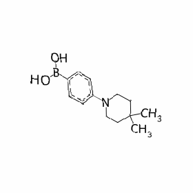 CC1(C)CCN(c2ccc(B(O)O)cc2)CC1